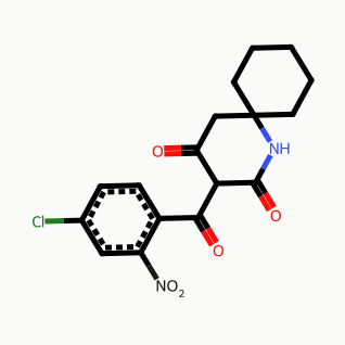 O=C1CC2(CCCCC2)NC(=O)C1C(=O)c1ccc(Cl)cc1[N+](=O)[O-]